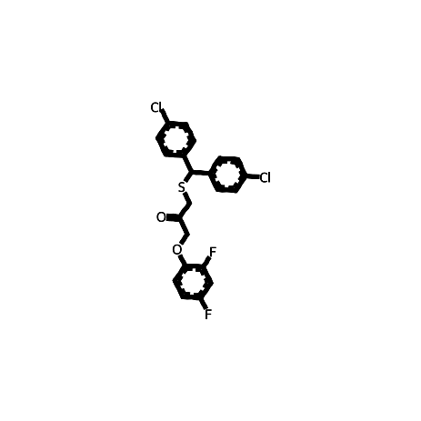 O=C(COc1ccc(F)cc1F)CSC(c1ccc(Cl)cc1)c1ccc(Cl)cc1